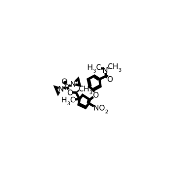 C[C@H](OP(=O)(N1CC1)N1CC1)C1(C)C=CC([N+](=O)[O-])=C(Oc2cccc(C(=O)N(C)C)c2)C1